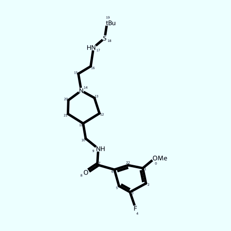 COc1cc(F)cc(C(=O)NCC2CCN(CCNSC(C)(C)C)CC2)c1